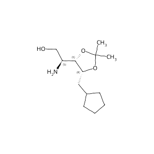 CC1(C)O[C@@H]([C@@H](N)CO)[C@@H](CC2CCCC2)O1